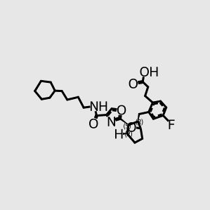 O=C(O)CCc1ccc(F)cc1C[C@H]1C2CC[C@@H](O2)[C@H]1c1nc(C(=O)NCCCCC2CCCCC2)co1